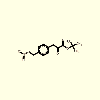 CC(C)(C)OC(=O)C(=O)Cc1ccc(CO[N+](=O)[O-])cc1